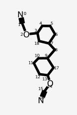 N#COC1CCCC(CC2CCCC(OC#N)C2)C1